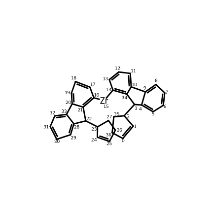 C1=CC(C2c3ccccc3-c3ccc[c]([Zr][c]4cccc5c4C(C4C=CCC4)c4ccccc4-5)c32)CC1